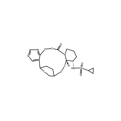 O=C1COc2ncncc2C2CCC(CC2)OC[C@H]2[C@@H](NS(=O)(=O)C3CC3)CCCN12